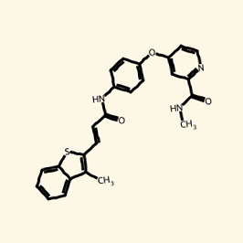 CNC(=O)c1cc(Oc2ccc(NC(=O)C=Cc3sc4ccccc4c3C)cc2)ccn1